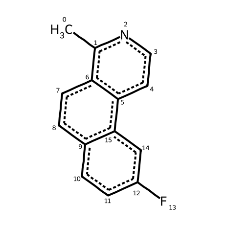 Cc1nccc2c1ccc1ccc(F)cc12